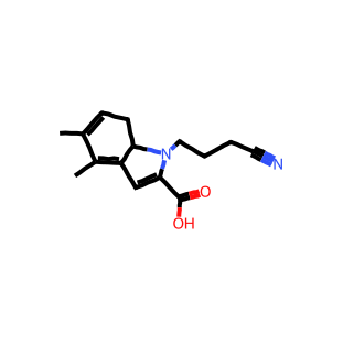 CC1=CCC2C(=C1C)C=C(C(=O)O)N2CCCC#N